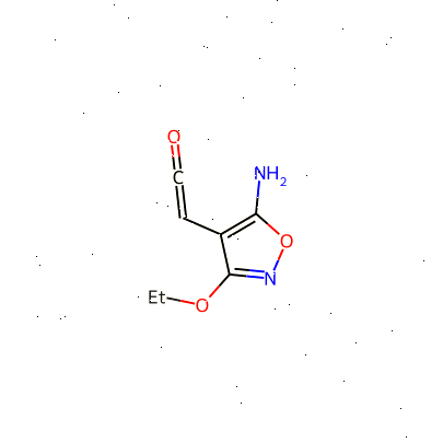 CCOc1noc(N)c1C=C=O